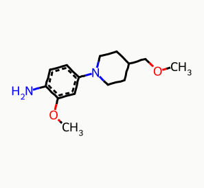 COCC1CCN(c2ccc(N)c(OC)c2)CC1